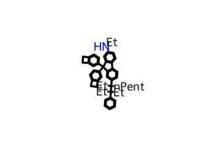 CCCCCC(CC)(c1ccc2c(c1)C(c1ccc3c(c1)CC3)(c1ccc3c(c1)CC3)c1cc(NCC)ccc1-2)C(CC)(CC)c1ccccc1